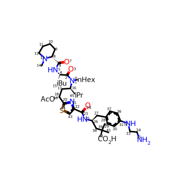 CCCCCCN(C(=O)[C@@H](NC(=O)[C@H]1CCCCN1C)[C@@H](C)CC)[C@H](C[C@@H](OC(C)=O)c1nc(C(=O)N[C@@H](Cc2ccc(NCCN)cc2)CC(C)(C)C(=O)O)cs1)C(C)C